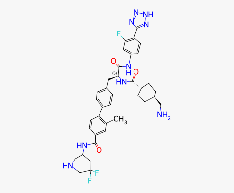 Cc1cc(C(=O)NC2CNCC(F)(F)C2)ccc1-c1ccc(C[C@H](NC(=O)[C@H]2CC[C@H](CN)CC2)C(=O)Nc2ccc(-c3nn[nH]n3)c(F)c2)cc1